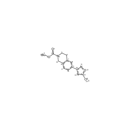 CC(C)(C)OC(=O)N1CCc2cc(-c3noc(C(F)(F)F)n3)ccc2C1